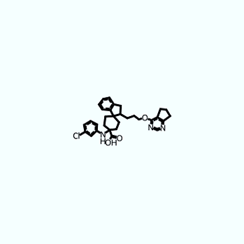 O=C(O)C1(Nc2cccc(Cl)c2)CCC2(CC1)c1ccccc1CC2CCCOc1ncnc2c1CCC2